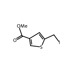 COC(=O)c1csc(CI)c1